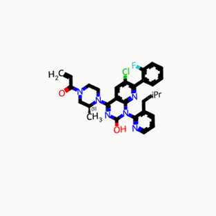 C=CC(=O)N1CCN(C2=NC(O)N(c3ncccc3CC(C)C)c3nc(-c4ccccc4F)c(Cl)cc32)[C@@H](C)C1